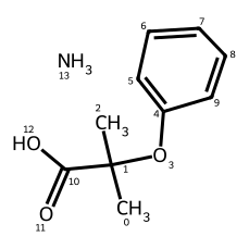 CC(C)(Oc1ccccc1)C(=O)O.N